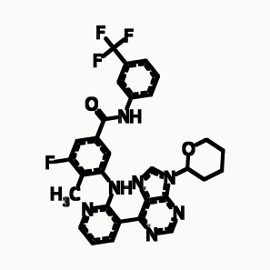 Cc1c(F)cc(C(=O)Nc2cccc(C(F)(F)F)c2)cc1Nc1ncccc1-c1ncnc2c1ncn2C1CCCCO1